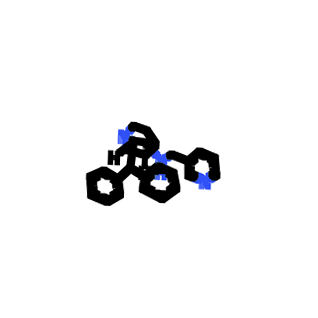 c1ccc(C(c2ccccc2)[C@H]2[C@H](NCc3cccnc3)C3CCN2CC3)cc1